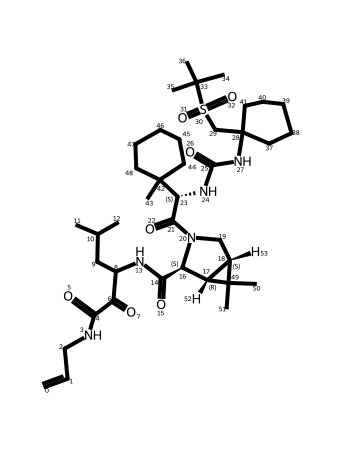 C=CCNC(=O)C(=O)C(CC(C)C)NC(=O)[C@@H]1[C@@H]2[C@H](CN1C(=O)[C@@H](NC(=O)NC1(CS(=O)(=O)C(C)(C)C)CCCCC1)C1(C)CCCCC1)C2(C)C